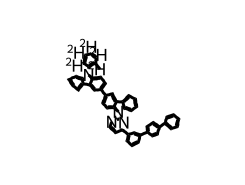 [2H]c1c([2H])c([2H])c(-n2c3ccccc3c3cc(-c4ccc5c(c4)c4ccccc4n5-c4nccc(-c5cccc(-c6ccc(-c7ccccc7)cc6)c5)n4)ccc32)c([2H])c1[2H]